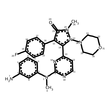 CN(c1cccc(N)c1)c1nccc(-c2c(-c3ccc(F)cc3)c(=O)n(C)n2N2CCOCC2)n1